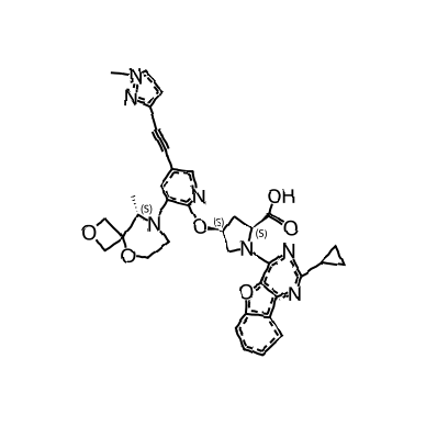 C[C@@H]1N(c2cc(C#Cc3ccn(C)n3)cnc2O[C@H]2C[C@@H](C(=O)O)N(c3nc(C4CC4)nc4c3oc3ccccc34)C2)CCOC12COC2